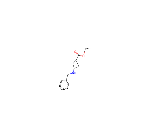 CCOC(=O)C1CC(NCc2ccccc2)C1